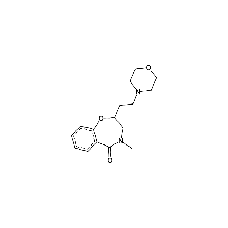 CN1CC(CCN2CCOCC2)Oc2ccccc2C1=O